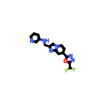 FC(F)c1nnc(-c2ccn3cc(CNc4cccnc4)nc3c2)o1